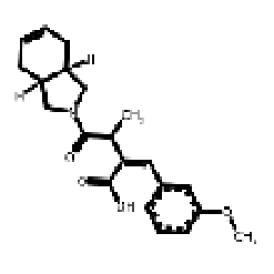 COc1cccc(C=C(C(=O)O)C(C)C(=O)N2C[C@H]3CC=CC[C@H]3C2)c1